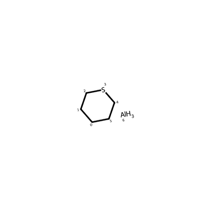 C1CCSCC1.[AlH3]